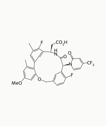 COc1cc(C)c2c(c1)OCc1ccc(F)c(c1)[C@H](n1ccc(C(F)(F)F)cc1=O)C(=O)N[C@H](CC(=O)O)c1cc-2cc(C)c1F